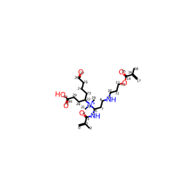 C=C(C)C(=O)NC(CCNCCCOC(=O)C(=C)C)[N+](C)(C)C(CCCC=O)CCC(=O)O